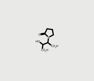 O=C(O)C(O)C(C(=O)O)N1CCCC1=O